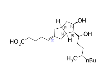 CCCCC(C)CCC(O)[C@H]1[C@H]2C/C(=C/CCCC(=O)O)C[C@H]2C[C@H]1O